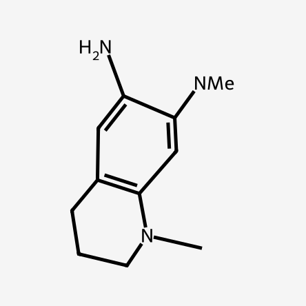 CNc1cc2c(cc1N)CCCN2C